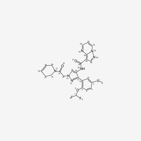 CSc1ccc(OC(F)F)c(-c2nn(CC(=O)N3CC=CCC3)cc2NC(=O)c2cnn3cccnc23)c1